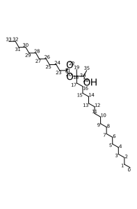 CCCCCCCCCCCCCCCCCCC(C)(OC(=O)CCCCCCCCCCC)C(C)O